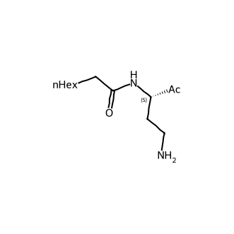 CCCCCCCC(=O)N[C@@H](CCN)C(C)=O